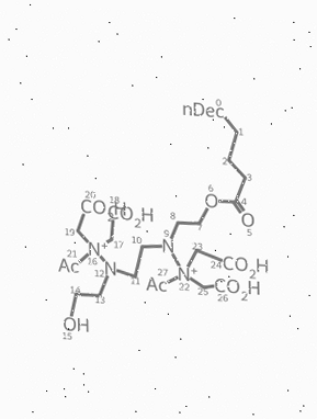 CCCCCCCCCCCCCC(=O)OCCN(CCN(CCO)[N+](CC(=O)O)(CC(=O)O)C(C)=O)[N+](CC(=O)O)(CC(=O)O)C(C)=O